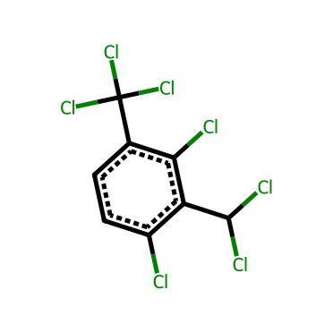 Clc1ccc(C(Cl)(Cl)Cl)c(Cl)c1C(Cl)Cl